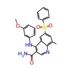 COc1cccc(Nc2c(C(N)=O)cnc3c(C)cc(S(=O)(=O)c4ccccc4)cc23)c1